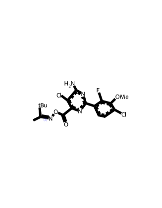 COc1c(Cl)ccc(-c2nc(N)c(Cl)c(C(=O)O/N=C(/C)C(C)(C)C)n2)c1F